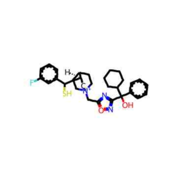 OC(c1ccccc1)(c1noc(C[N+]23CCC(CC2)[C@H](C(S)c2cccc(F)c2)C3)n1)C1CCCCC1